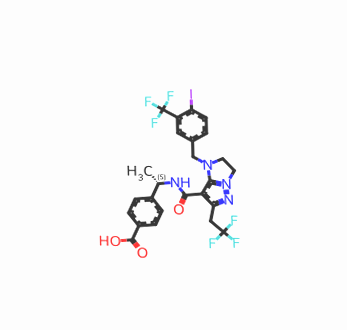 C[C@H](NC(=O)c1c(CC(F)(F)F)nn2c1N(Cc1ccc(I)c(C(F)(F)F)c1)CC2)c1ccc(C(=O)O)cc1